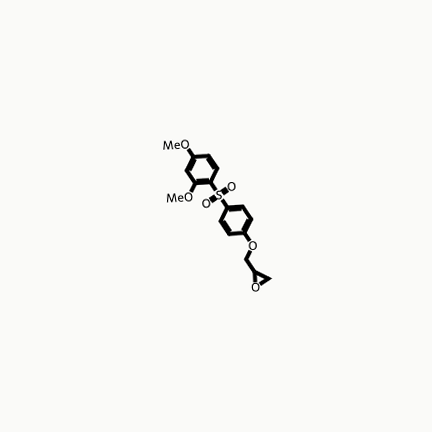 COc1ccc(S(=O)(=O)c2ccc(OCC3CO3)cc2)c(OC)c1